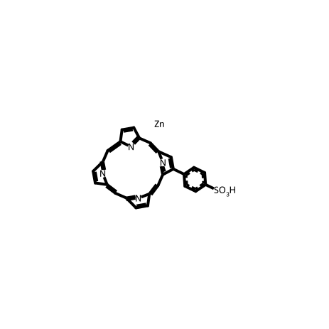 O=S(=O)(O)c1ccc(C2=CC3=CC4=NC(=CC5=NC(=CC6=NC(=CC2=N3)C=C6)C=C5)C=C4)cc1.[Zn]